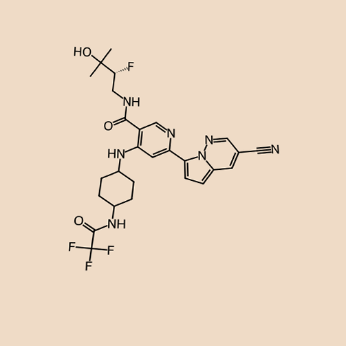 CC(C)(O)[C@H](F)CNC(=O)c1cnc(-c2ccc3cc(C#N)cnn23)cc1NC1CCC(NC(=O)C(F)(F)F)CC1